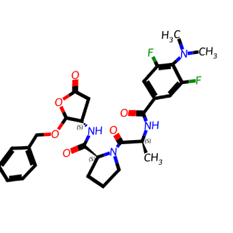 C[C@H](NC(=O)c1cc(F)c(N(C)C)c(F)c1)C(=O)N1CCC[C@H]1C(=O)N[C@H]1CC(=O)OC1OCc1ccccc1